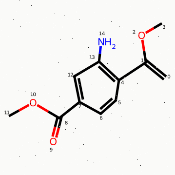 C=C(OC)c1ccc(C(=O)OC)cc1N